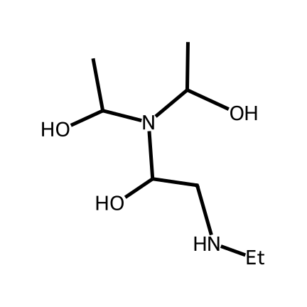 CCNCC(O)N(C(C)O)C(C)O